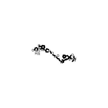 Cc1nnc2n1-c1sc(C#Cc3cnn(CCCC(=O)OCCOCCN4CCC(Nc5cccc6c5CN(C5CCC(=O)NC5O)C6=O)CC4)c3)c(Cc3ccccc3)c1COC2